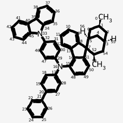 C[C@H]1C[C@@H]2C[C@H](C1)C1(c3ccccc3-c3c(N(c4ccc(-c5ccccc5)cc4)c4ccc(-n5c6ccccc6c6ccccc65)cc4)cccc31)[C@H](C)C2